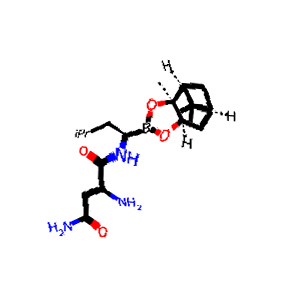 CC(C)C[C@H](NC(=O)C(N)CC(N)=O)B1O[C@@H]2C[C@@H]3C[C@@H](C3(C)C)[C@]2(C)O1